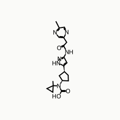 Cc1cnc(CC(=O)Nc2cc([C@H]3CC[C@@H](N(C(=O)O)C4(C)CC4)C3)[nH]n2)cn1